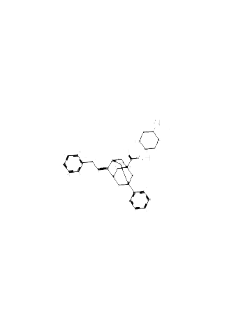 N[C@H]1CC[C@H](NC(=O)C23CC4CC(c5ccccc5)(CC(C2)C4=CCc2ccccc2)C3)CC1